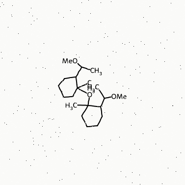 COC(C)C1CCCCC1(C)OC1(C)CCCCC1C(C)OC